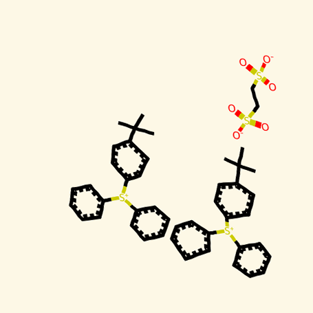 CC(C)(C)c1ccc([S+](c2ccccc2)c2ccccc2)cc1.CC(C)(C)c1ccc([S+](c2ccccc2)c2ccccc2)cc1.O=S(=O)([O-])CCS(=O)(=O)[O-]